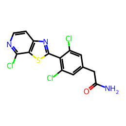 NC(=O)Cc1cc(Cl)c(-c2nc3ccnc(Cl)c3s2)c(Cl)c1